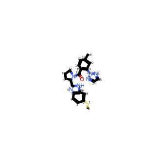 CSc1ccc2nc(C3CCCN3C(=O)c3ccc(C)cc3-n3nccn3)[nH]c2c1